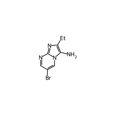 CCc1nc2ncc(Br)cn2c1N